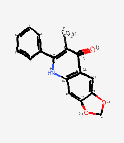 O=C(O)c1c(-c2ccccc2)[nH]c2cc3c(cc2c1=O)OCO3